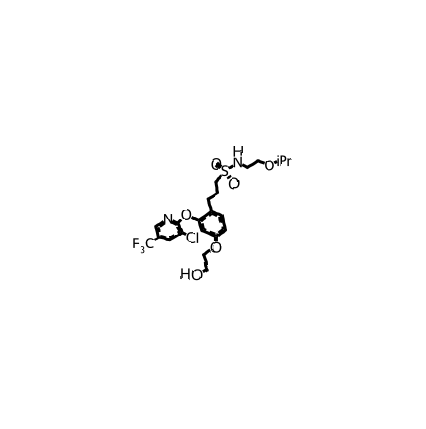 CC(C)OCCNS(=O)(=O)CCCc1ccc(OCCO)cc1Oc1ncc(C(F)(F)F)cc1Cl